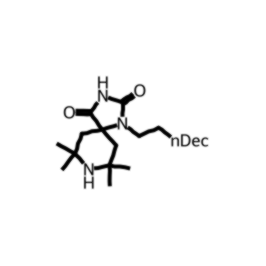 CCCCCCCCCCCCN1C(=O)NC(=O)C12CC(C)(C)NC(C)(C)C2